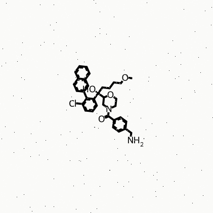 COCCCC[C@@](O)(c1cccc(Cl)c1-c1ccc2ccccc2c1)C1CN(C(=O)c2ccc(CN)cc2)CCO1